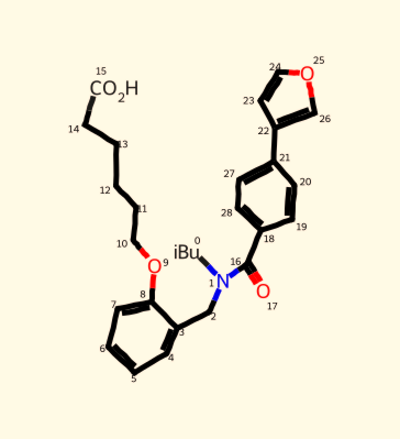 CCC(C)N(Cc1ccccc1OCCCCCC(=O)O)C(=O)c1ccc(-c2ccoc2)cc1